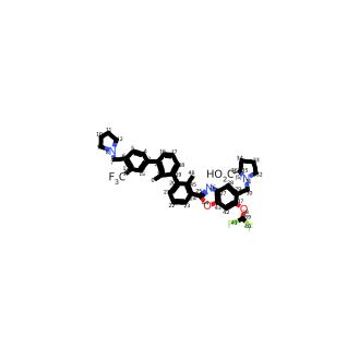 Cc1c(-c2ccc(CN3CCCC3)c(C(F)(F)F)c2)cccc1-c1cccc(-c2nc3cc(CN4CCC[C@H]4C(=O)O)c(OC(F)F)cc3o2)c1C